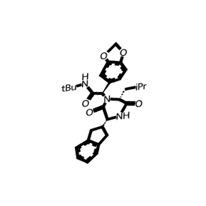 CC(C)C[C@@H]1C(=O)N[C@H](C2Cc3ccccc3C2)C(=O)N1[C@@H](C(=O)NC(C)(C)C)c1ccc2c(c1)OCO2